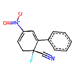 N#CC1(F)CC=C([N+](=O)[O-])C=C1c1ccccc1